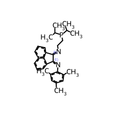 Cc1cc(C)c(/N=C2/C(=N/CCP(C(C)C)C(C)C)c3cccc4cccc2c34)c(C)c1